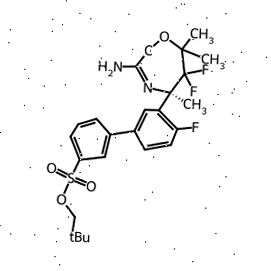 CC(C)(C)COS(=O)(=O)c1cccc(-c2ccc(F)c([C@@]3(C)N=C(N)COC(C)(C)C3(F)F)c2)c1